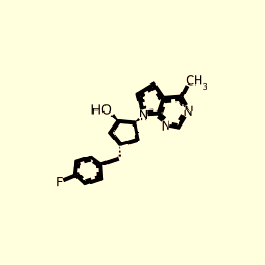 Cc1ncnc2c1ccn2[C@@H]1C[C@H](Cc2ccc(F)cc2)C[C@H]1O